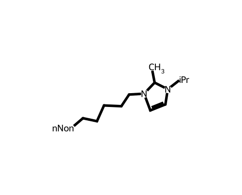 CCCCCCCCCCCCCCN1C=CN(C(C)C)C1C